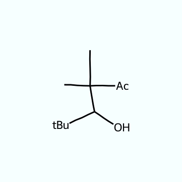 CC(=O)C(C)(C)C(O)C(C)(C)C